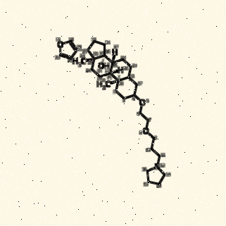 C[C@]12CCC(OCCOCCCN3CCCC3)CC1CC[C@@H]1[C@H]2CC[C@]2(C)C(c3ccoc3)CC[C@@]12O